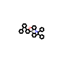 c1ccc(-c2ccccc2-c2cccc3c2Oc2cccc4c2B3c2cccc3c(-c5ccccc5)c(-c5ccccc5)n-4c23)cc1